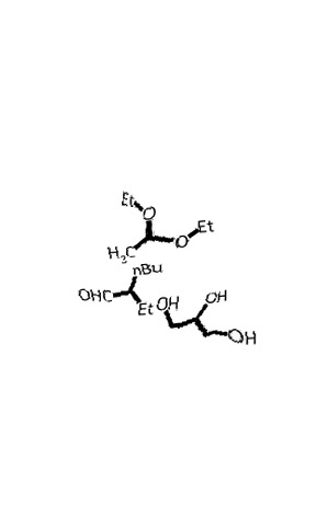 CCCCC(C=O)CC.CCOC(C)OCC.OCC(O)CO